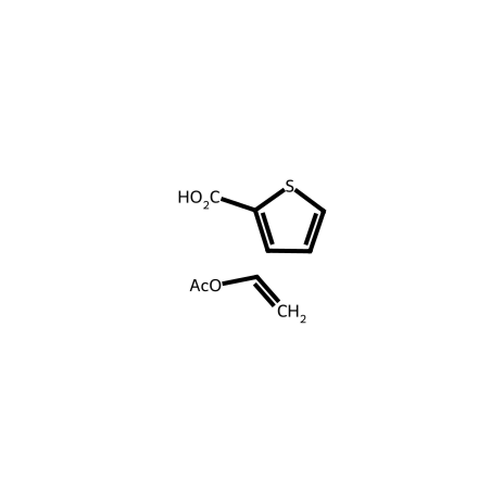 C=COC(C)=O.O=C(O)c1cccs1